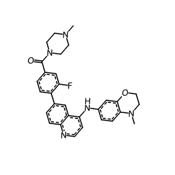 CN1CCN(C(=O)c2ccc(-c3ccc4nccc(Nc5ccc6c(c5)OCCN6C)c4c3)c(F)c2)CC1